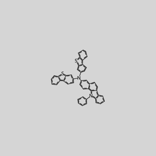 c1ccc(-n2c3ccccc3c3ccc4cc(N(c5ccc6c(c5)sc5ccccc56)c5ccc6c(c5)sc5ccccc56)ccc4c32)cc1